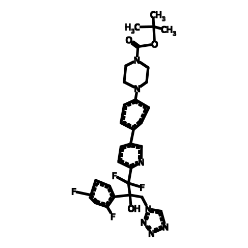 CC(C)(C)OC(=O)N1CCN(c2ccc(-c3ccc(C(F)(F)C(O)(Cn4cnnn4)c4ccc(F)cc4F)nc3)cc2)CC1